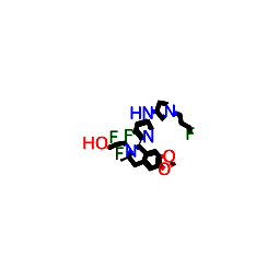 C[C@@H]1Cc2cc3c(cc2[C@@H](c2ncc(NC4CCN(CCCF)C4)cc2F)N1CC(F)(F)CO)OCO3